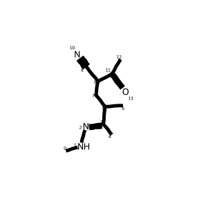 CN/N=C(\C)C(C)CC(C#N)C(C)=O